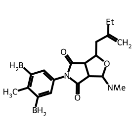 Bc1cc(N2C(=O)C3C(CC(=C)CC)OC(NC)C3C2=O)cc(B)c1C